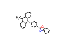 Cc1c2ccccc2c(-c2ccc(-c3nc4ccccc4o3)cc2)c2ccccc12